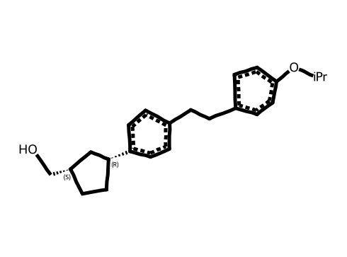 CC(C)Oc1ccc(CCc2ccc([C@@H]3CC[C@H](CO)C3)cc2)cc1